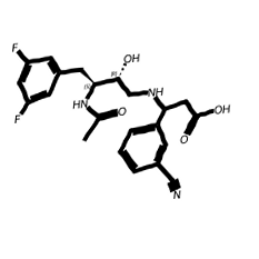 CC(=O)N[C@@H](Cc1cc(F)cc(F)c1)[C@H](O)CNC(CC(=O)O)c1cccc(C#N)c1